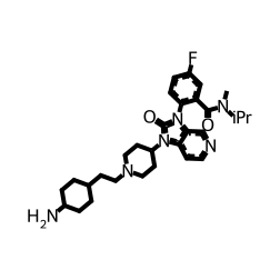 CC(C)N(C)C(=O)c1cc(F)ccc1-n1c(=O)n(C2CCN(CCC3CCC(N)CC3)CC2)c2ccncc21